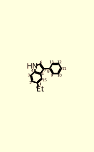 CCc1ccc2[nH]cc(-c3ccccc3)c2c1